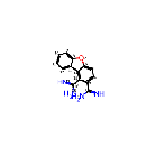 N=C(N)c1ccc2oc3ccccc3c2c1C(=N)N